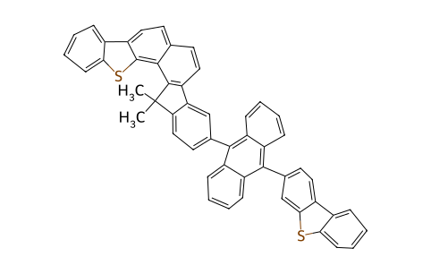 CC1(C)c2ccc(-c3c4ccccc4c(-c4ccc5c(c4)sc4ccccc45)c4ccccc34)cc2-c2ccc3ccc4c5ccccc5sc4c3c21